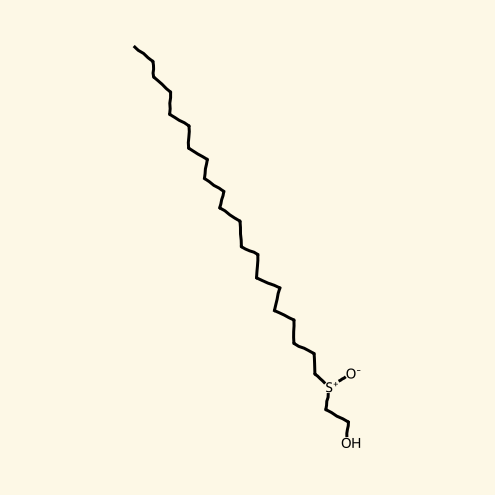 CCCCCCCCCCCCCCCCCCCCC[S+]([O-])CCO